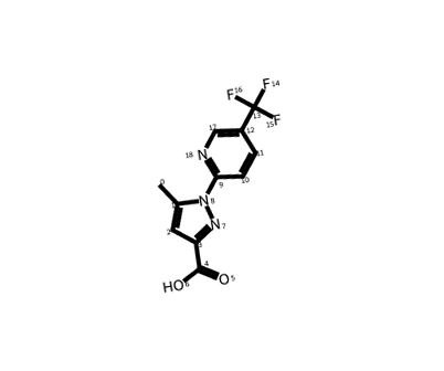 Cc1cc(C(=O)O)nn1-c1ccc(C(F)(F)F)cn1